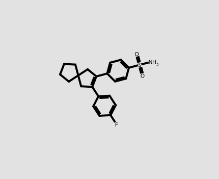 NS(=O)(=O)c1ccc(C2=C(c3ccc(F)cc3)CC3(CCCC3)C2)cc1